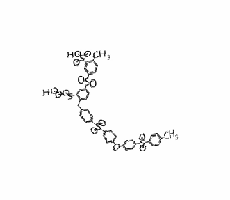 Cc1ccc(S(=O)(=O)c2ccc(Oc3ccc(S(=O)(=O)c4ccc(Cc5ccc(S(=O)(=O)c6ccc(C)c(S(=O)(=O)O)c6)cc5SOOO)cc4)cc3)cc2)cc1